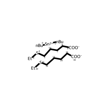 CCC[CH2][Sn+2][CH2]CCC.CCSCCCCC(=O)[O-].CCSCCCCC(=O)[O-]